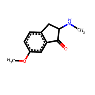 CNC1Cc2ccc(OC)cc2C1=O